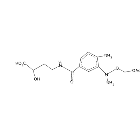 CC(=O)OCON(N)c1cc(C(=O)NCCC(O)C(=O)O)ccc1N